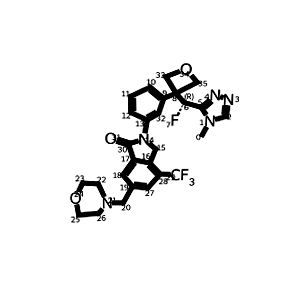 Cn1cnnc1[C@H](F)C1(c2cccc(N3Cc4c(cc(CN5CCOCC5)cc4C(F)(F)F)C3=O)c2)COC1